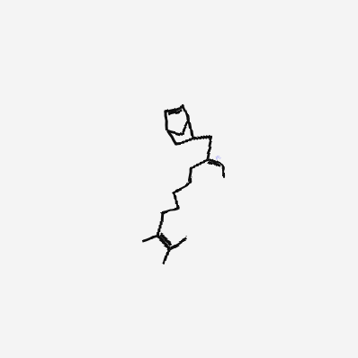 C/C=C(\CCCCCC(C)=C(C)C)CC1CC2C=CC1C2